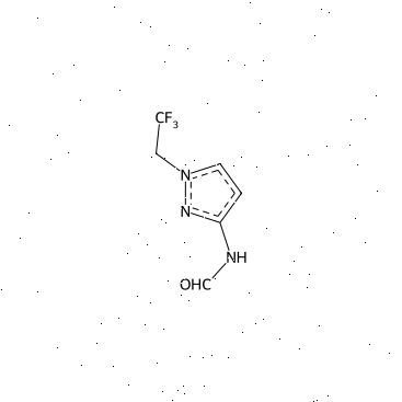 O=CNc1ccn(CC(F)(F)F)n1